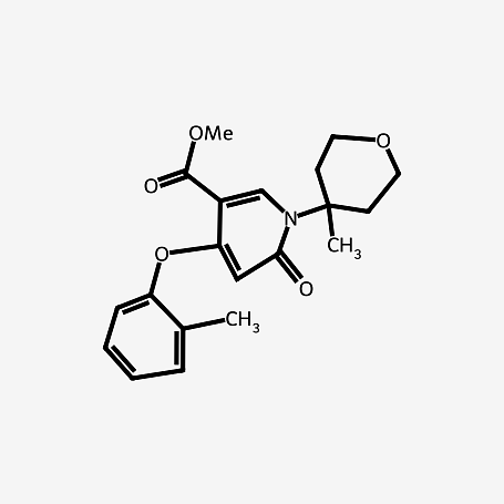 COC(=O)c1cn(C2(C)CCOCC2)c(=O)cc1Oc1ccccc1C